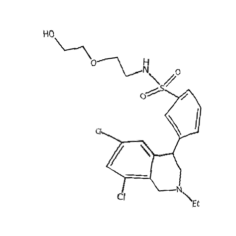 CCN1Cc2c(Cl)cc(Cl)cc2C(c2cccc(S(=O)(=O)NCCOCCO)c2)C1